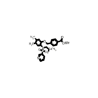 COC(=O)c1ccc(COc2cc(C)c(C)cc2N(C[C@H](C)F)S(=O)(=O)c2cccnc2)cc1